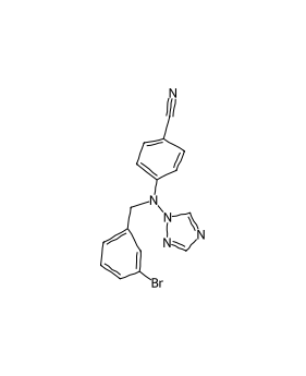 N#Cc1ccc(N(Cc2cccc(Br)c2)n2cncn2)cc1